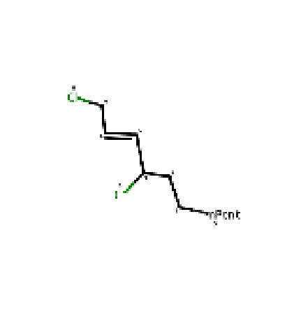 CCCCCCCC(Cl)C=CCCl